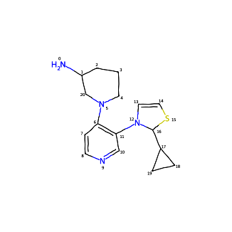 NC1CCCN(c2ccncc2N2C=CSC2C2CC2)C1